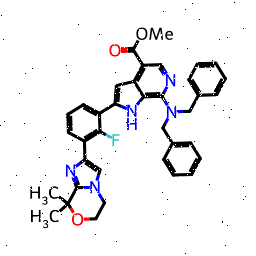 COC(=O)c1cnc(N(Cc2ccccc2)Cc2ccccc2)c2[nH]c(-c3cccc(-c4cn5c(n4)C(C)(C)OCC5)c3F)cc12